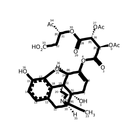 CC(=O)O[C@@H](C(=O)OC1=CC[C@@]2(O)[C@H]3Cc4ccc(O)c5c4[C@@]2(CCN3C)[C@H]1O5)[C@@H](OC(C)=O)C(=O)O[C@H](CC(=O)O)C(C)=O